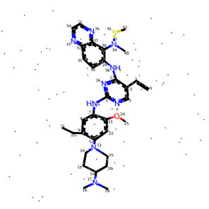 C=Cc1cnc(Nc2cc(CC)c(N3CCC(N(C)C)CC3)cc2OC)nc1Nc1ccc2nccnc2c1N(C)SC